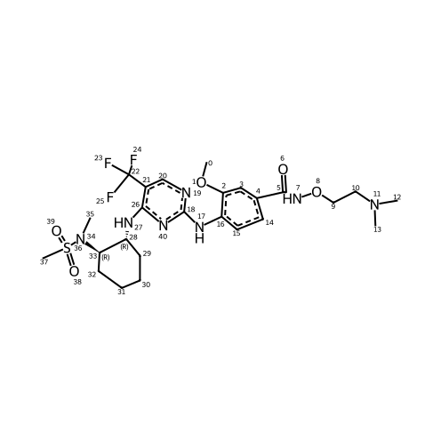 COc1cc(C(=O)NOCCN(C)C)ccc1Nc1ncc(C(F)(F)F)c(N[C@@H]2CCCC[C@H]2N(C)S(C)(=O)=O)n1